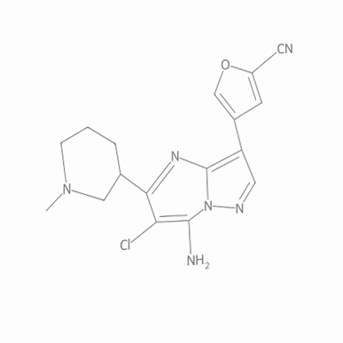 CN1CCCC(c2nc3c(-c4coc(C#N)c4)cnn3c(N)c2Cl)C1